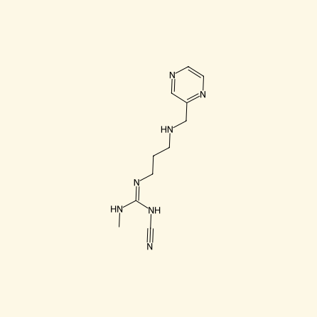 CN/C(=N/CCCNCc1cnccn1)NC#N